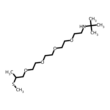 CSC(C)COCCOCCOCCOCCNC(C)(C)C